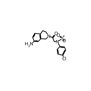 CS(=O)(=O)N(CC(=O)N1CCc2ccc(N)cc2C1)c1ccc(Cl)cc1